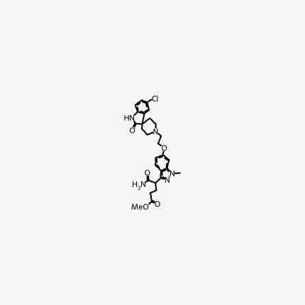 COC(=O)CCC(C(N)=O)c1nn(C)c2cc(OCCN3CCC4(CC3)C(=O)Nc3ccc(Cl)cc34)ccc12